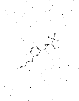 C=CCOc1cccc([C@@H](C)NC(=O)C(F)(F)F)c1